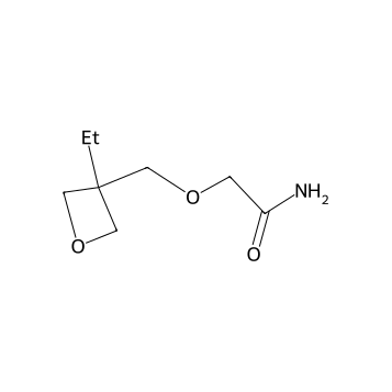 CCC1(COCC(N)=O)COC1